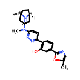 Cc1cnc(-c2ccc(-c3ccc(N(C)[C@H]4C[C@H]5CC[C@@H](C4)N5)nn3)c(O)c2)o1